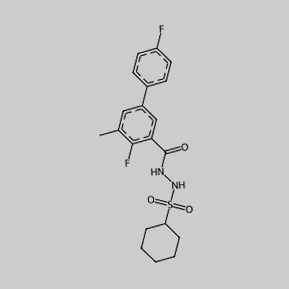 Cc1cc(-c2ccc(F)cc2)cc(C(=O)NNS(=O)(=O)C2CCCCC2)c1F